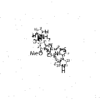 COc1cc(C(=O)N2C[C@H]3CC[C@@H]2[C@@H]3N)cc2nc(-c3cc4scc(C5CCNCC5)c4n3CC3CC3)n(C)c12